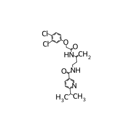 C=C(CCNC(=O)c1ccc(C(C)C)nc1)NC(=O)COc1ccc(Cl)c(Cl)c1